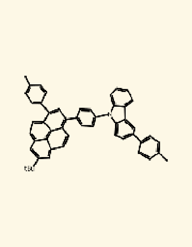 Cc1ccc(-c2ccc3c(c2)c2ccccc2n3-c2ccc(-c3cc(-c4ccc(C)cc4)c4ccc5cc(C(C)(C)C)cc6ccc3c4c56)cc2)cc1